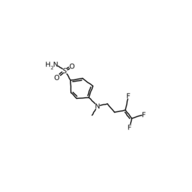 CN(CCC(F)=C(F)F)c1ccc(S(N)(=O)=O)cc1